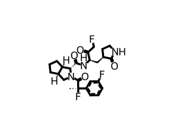 C[C@](F)(C(=O)N1C[C@H]2CCC[C@H]2[C@@H]1C(=O)N[C@H](C[C@H]1CCNC1=O)C(=O)CF)c1cccc(F)c1